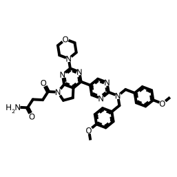 COc1ccc(CN(Cc2ccc(OC)cc2)c2ncc(-c3nc(N4CCOCC4)nc4c3CCN4C(=O)CCC(N)=O)cn2)cc1